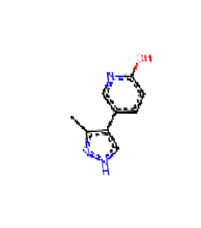 Cc1n[nH]cc1-c1ccc(O)nc1